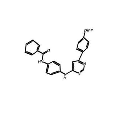 COc1ccc(-c2cc(Nc3ccc(NC(=O)c4ccccc4)cc3)ncn2)cc1